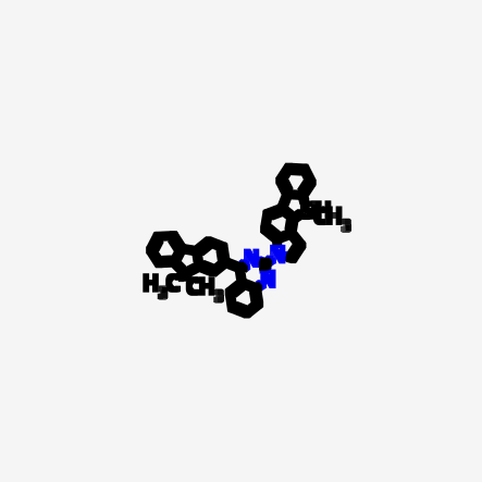 C[SiH]1c2ccccc2-c2ccc3c(ccn3-c3nc(-c4ccc5c(c4)C(C)(C)c4ccccc4-5)c4ccccc4n3)c21